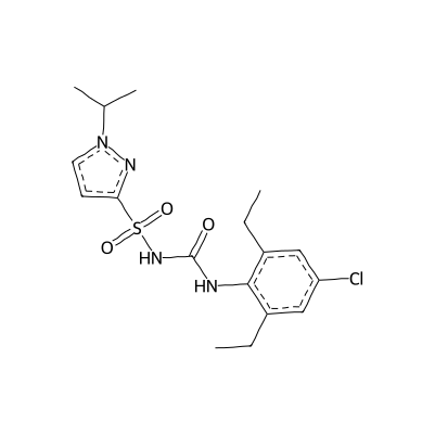 CCc1cc(Cl)cc(CC)c1NC(=O)NS(=O)(=O)c1ccn(C(C)C)n1